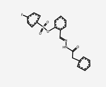 O=C(Cc1ccccc1)NN=Cc1ccccc1OS(=O)(=O)c1ccc(F)cc1